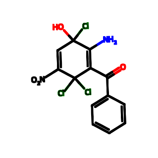 NC1=C(C(=O)c2ccccc2)C(Cl)(Cl)C([N+](=O)[O-])=CC1(O)Cl